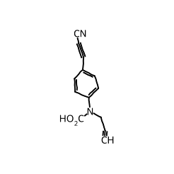 C#CCN(C(=O)O)c1ccc(C#CC#N)cc1